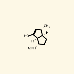 CC(=O)N[C@H]1CC[C@H]2[C@@H]1C(O)=C[C@@H]2C